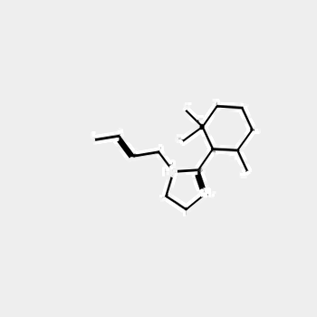 CC=CC[SH]1CCN=C1C1C(C)CCCC1(C)C